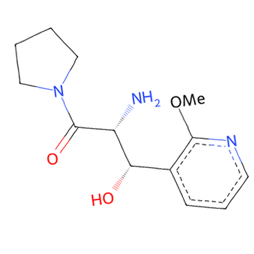 COc1ncccc1[C@H](O)[C@@H](N)C(=O)N1CCCC1